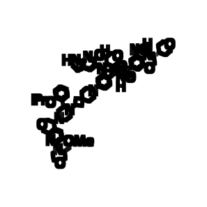 COc1cc2c(nc1N1CCOC[C@@H]1C)COC[C@H]2N1CCN(C2CC3(CCN(c4ccc(C(=O)NS(=O)(=O)c5cc6c(c([N+](=O)[O-])c5)N[C@H](C5CCOCC5)CO6)c(N5c6cc7cc[nH]c7nc6O[C@H]6COCC[C@@H]65)c4)CC3)C2)[C@H](c2ccccc2OC(C)C)C1